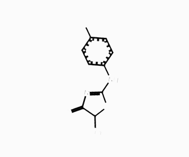 CC(C)C1SC(Nc2ccc(F)cc2)=NC1=O